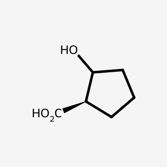 O=C(O)[C@@H]1CCCC1O